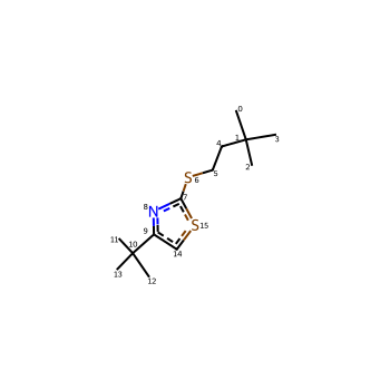 CC(C)(C)CCSc1nc(C(C)(C)C)cs1